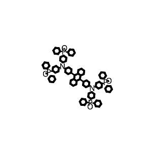 O=P(c1ccccc1)(c1ccccc1)c1ccc(N(c2ccc(-c3c4ccccc4c(-c4ccc(N(c5ccc(P(=O)(c6ccccc6)c6ccccc6)cc5)c5ccc(P(=O)(c6ccccc6)c6ccccc6)cc5)cc4)c4ccccc34)cc2)c2ccc(P(=O)(c3ccccc3)c3ccccc3)cc2)cc1